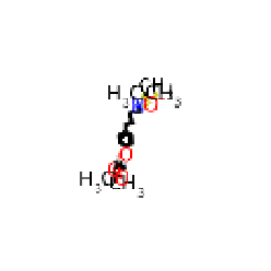 CC1(C)OC[C@@H](COc2ccc(CCC/C=N/[S+]([O-])C(C)(C)C)cc2)O1